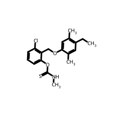 CCc1cc(C)c(OCc2c(Cl)cccc2OC(=S)NC)cc1C